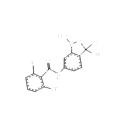 CC1(C)OB(O)c2cc(NC(=O)c3c(F)cccc3C(F)(F)F)ccc21